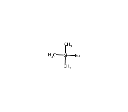 C[Si](C)(C)[Eu]